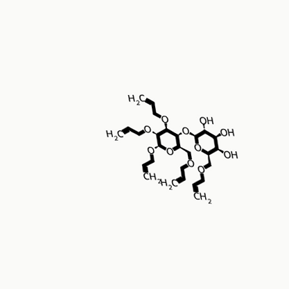 C=CCOC[C@H]1O[C@@H](O[C@H]2[C@H](OCC=C)[C@@H](OCC=C)[C@@H](OCC=C)O[C@@H]2COCC=C)[C@H](O)[C@@H](O)[C@H]1O